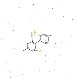 Cc1ccc(-c2c(F)cc(C)cc2F)c(F)c1